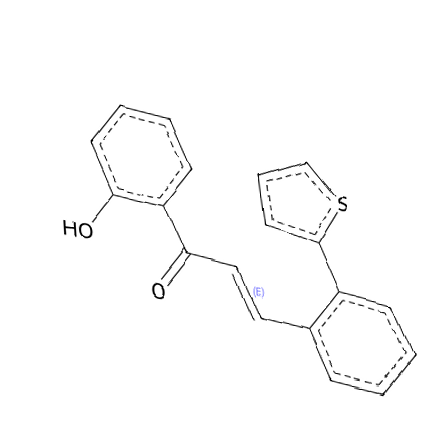 O=C(/C=C/c1ccccc1-c1cccs1)c1ccccc1O